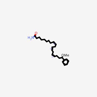 COC(CC/C=C\C/C=C\C/C=C\CCCCCCCC(N)=O)c1ccccc1